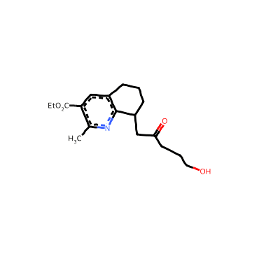 CCOC(=O)c1cc2c(nc1C)C(CC(=O)CCCO)CCC2